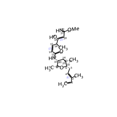 C=C/C(C)=C/C[C@@H]1O[C@H](C)[C@H](NC(=O)/C=C\C(C)/C(O)=C/C(=N)OC)C[C@@H]1C